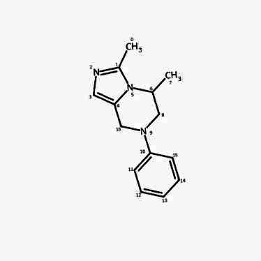 Cc1ncc2n1C(C)CN(c1ccccc1)C2